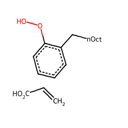 C=CC(=O)O.CCCCCCCCCc1ccccc1OO